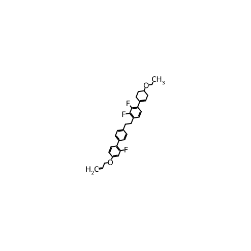 C=CCOc1ccc(-c2ccc(CCc3ccc(C4=CCC(OCC)CC4)c(F)c3F)cc2)c(F)c1